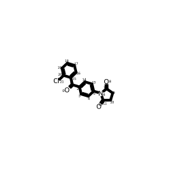 O=C(c1ccc(N2C(=O)CCC2=O)cc1)c1ccccc1Cl